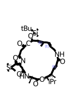 CC1=C\C(O[Si](C)(C)C(C)(C)C)CC(=O)Cc2nc(c([Si](C)(C)C)o2)C(=O)N[C@H](C)C(=O)O[C@H](C(C)C)[C@H](C)/C=C/C(=O)NC\C=C\1